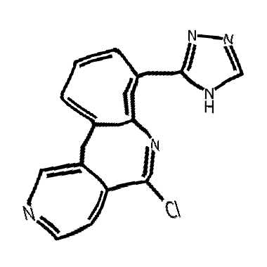 Clc1nc2c(-c3nnc[nH]3)cccc2c2cnccc12